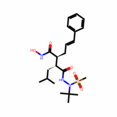 CC(C)C[C@@H](C(=O)NN(C(C)(C)C)S(C)(=O)=O)[C@H](CC=Cc1ccccc1)C(=O)NO